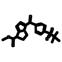 COC(=O)C1CCn2c(C(=O)c3ccc(S(=O)(=O)C(C)(C)C)cc3)ccc21